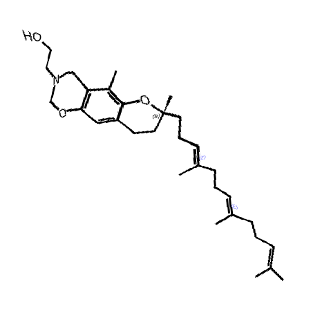 CC(C)=CCC/C(C)=C/CC/C(C)=C/CC[C@]1(C)CCc2cc3c(c(C)c2O1)CN(CCO)CO3